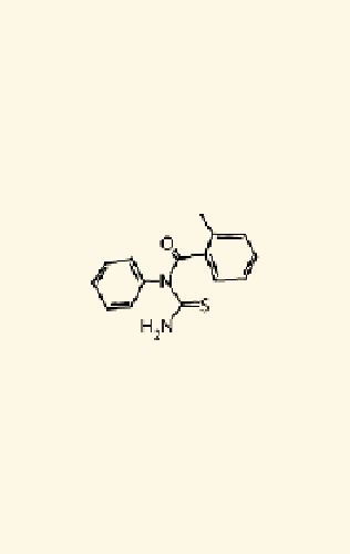 Cc1ccccc1C(=O)N(C(N)=S)c1ccccc1